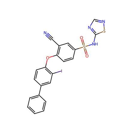 N#Cc1cc(S(=O)(=O)Nc2ncns2)ccc1Oc1ccc(-c2ccccc2)cc1I